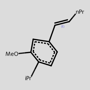 CCC/C=C/c1ccc(C(C)C)c(OC)c1